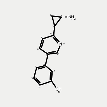 N[C@H]1C[C@@H]1c1ccc(-c2cccc(O)c2)cn1